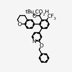 CC(C)(C)OC(C(=O)O)c1c(C(F)(F)F)ccc(-c2ccnc(OCc3ccccc3)c2)c1-c1ccc2c(c1)CCCO2